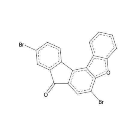 O=C1c2cc(Br)ccc2-c2c1cc(Br)c1oc3ccccc3c21